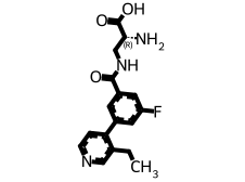 CCc1cnccc1-c1cc(F)cc(C(=O)NC[C@@H](N)C(=O)O)c1